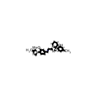 COc1cc(/C=C/C2=NO[C@]3(c4ccc(C)cc4)[C@H](O)CCCN23)ccc1-n1cnc(C)c1